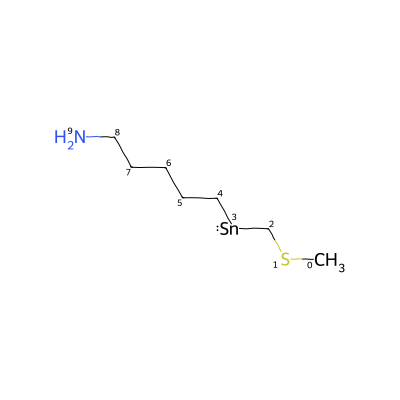 CS[CH2][Sn][CH2]CCCCN